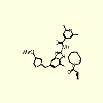 C=CC(=O)N1CCCC[C@@H](n2c(NC(=O)c3cc(C)nc(C)c3)nc3cc(CN4CC[C@@H](OC)C4)cc(C)c32)C1